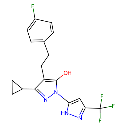 Oc1c(CCc2ccc(F)cc2)c(C2CC2)nn1-c1cc(C(F)(F)F)n[nH]1